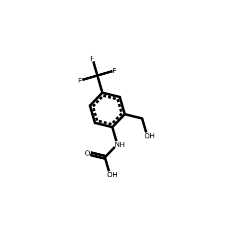 O=C(O)Nc1ccc(C(F)(F)F)cc1CO